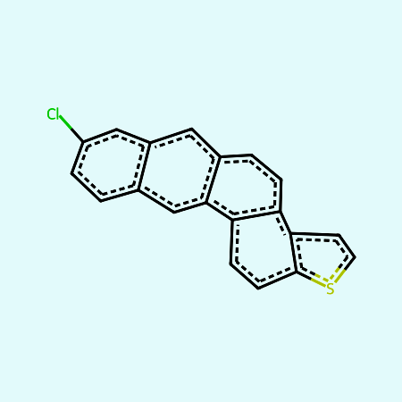 Clc1ccc2cc3c(ccc4c5ccsc5ccc34)cc2c1